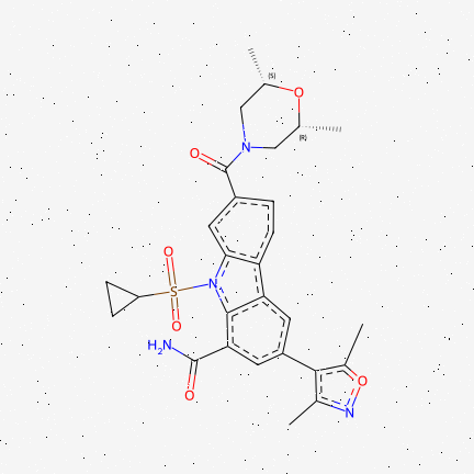 Cc1noc(C)c1-c1cc(C(N)=O)c2c(c1)c1ccc(C(=O)N3C[C@@H](C)O[C@@H](C)C3)cc1n2S(=O)(=O)C1CC1